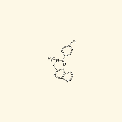 CC(C)c1ccc(C(=O)N(C)Cc2ccc3ncccc3c2)cc1